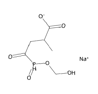 CC(CC(=O)[PH](=O)OCO)C(=O)[O-].[Na+]